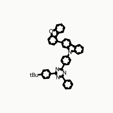 CC(C)(C)c1ccc(-c2nc(-c3ccccc3)nc(-c3ccc(-n4c5ccccc5c5ccc(-c6cccc7oc8ccccc8c67)cc54)cc3)n2)cc1